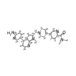 CN(C)C(=O)c1ccc(C2=CCN(Cc3cc4c(-c5ccc(N)nc5)ccnc4n3C)CC2)cn1